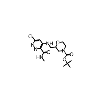 CNC(=O)c1nnc(Cl)cc1NCC1CN(C(=O)OC(C)(C)C)CCO1